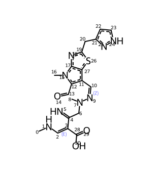 CN/C=C(\C(=N)CN(C)/N=C\c1c(C=O)n(C)c2nc(Cc3cc[nH]n3)sc12)C(=O)O